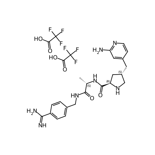 C[C@H](NC(=O)[C@H]1C[C@H](Cc2ccnc(N)c2)CN1)C(=O)NCc1ccc(C(=N)N)cc1.O=C(O)C(F)(F)F.O=C(O)C(F)(F)F